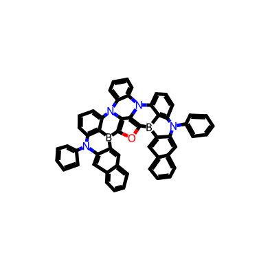 c1ccc(N2c3cc4ccccc4cc3B3c4oc5c6c4N(c4ccccc4N6c4cccc6c4B5c4cc5ccccc5cc4N6c4ccccc4)c4cccc2c43)cc1